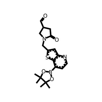 CC1(C)OB(c2ccnc3cc(CN4CC(C=O)CC4=O)sc23)OC1(C)C